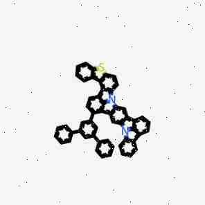 c1ccc(-c2cc(-c3ccccc3)cc(-c3ccc4c5c6c(ccc5n5c7cc8c9cccc%10c%11ccccc%11n(c8cc7c3c45)c%109)sc3ccccc36)c2)cc1